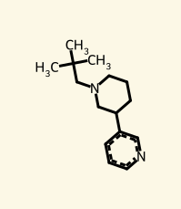 CC(C)(C)CN1CCCC(c2cccnc2)C1